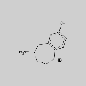 Br.N[C@H]1CCCc2ccc(O)cc2C1